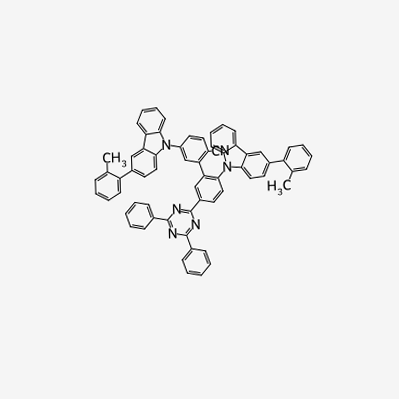 Cc1ccccc1-c1ccc2c(c1)c1ccccc1n2-c1ccc(C#N)c(-c2cc(-c3nc(-c4ccccc4)nc(-c4ccccc4)n3)ccc2-n2c3ccccc3c3cc(-c4ccccc4C)ccc32)c1